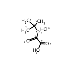 CC(C)(C)OC(=O)C(=O)O.Cl